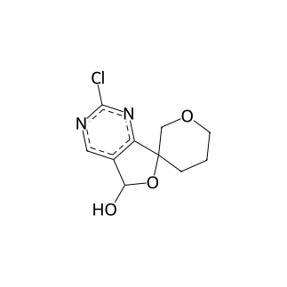 OC1OC2(CCCOC2)c2nc(Cl)ncc21